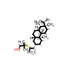 CC[C@H]1[C@@H]2CC[C@H]3C[C@@H](CC(SC(C)(C)CO)C(=O)O)CC[C@]3(C)[C@H]2CC[C@]1(C)[C@H](C)C(C)=O